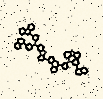 c1cc(-c2cccc3ccccc23)cc(N(c2cccc(-c3cc4ccccc4c4ccccc34)c2)c2ccc3sc4c(-c5ccc6cc(-c7cccc(N(c8cccc(-c9cccc%10ccccc9%10)c8)c8cccc9sc%10ccccc%10c89)c7)c7ccccc7c6c5)cccc4c3c2)c1